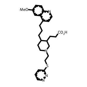 COc1ccc2nccc(CCCC3CCN(CCSc4cccnn4)CC3CCC(=O)O)c2c1